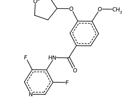 COc1ccc(C(=O)Nc2c(F)cncc2F)cc1OC1CCOC1